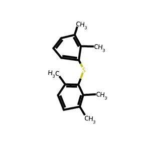 Cc1cccc(Sc2c(C)ccc(C)c2C)c1C